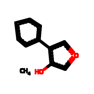 C.Oc1cocc1-c1ccccc1